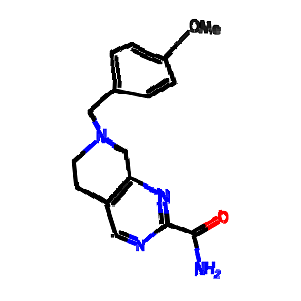 COc1ccc(CN2CCc3[c]nc(C(N)=O)nc3C2)cc1